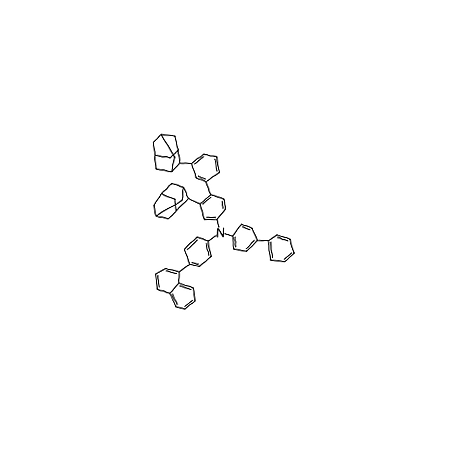 c1ccc(-c2ccc(N(c3ccc(-c4cccc5ccccc45)cc3)c3ccc(-c4cccc(C5C6CC7CC(C6)CC5C7)c4)c(C4C5CC6CC(C5)CC4C6)c3)cc2)cc1